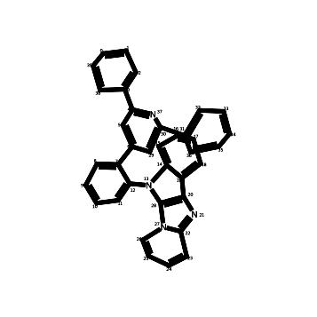 c1ccc(-c2cc(-c3ccccc3-n3c4ccccc4c4nc5ccccn5c43)cc(-c3ccccc3)n2)cc1